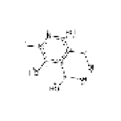 Cc1ncc(CO)c(C(O)S)c1O.Cl